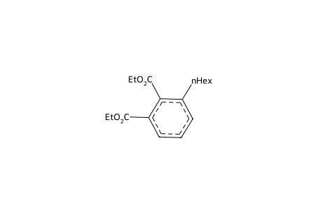 CCCCCCc1cccc(C(=O)OCC)c1C(=O)OCC